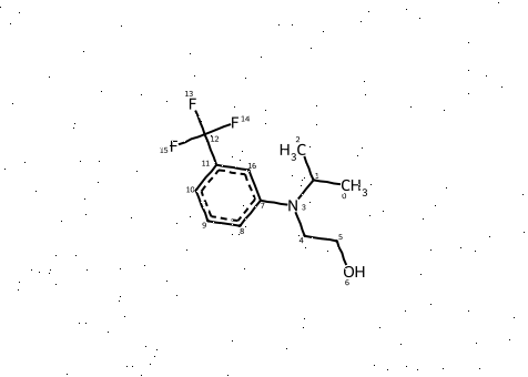 CC(C)N(CCO)c1cccc(C(F)(F)F)c1